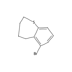 Brc1cccc2c1CCCCS2